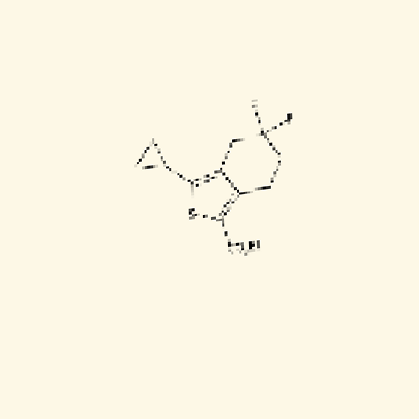 CCOC(=O)c1sc(C2CC2)c2c1CCC(F)(F)C2